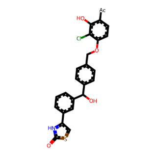 CC(=O)c1ccc(OCc2ccc(C(O)c3cccc(-c4csc(=O)[nH]4)c3)cc2)c(Cl)c1O